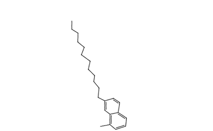 CCCCCCCCCCCCc1ccc2cccc(C)c2c1